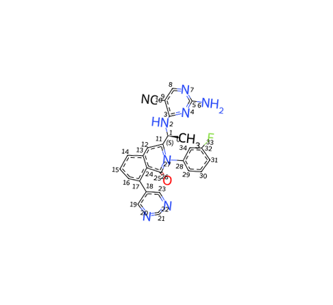 C[C@H](Nc1nc(N)ncc1C#N)c1cc2cccc(-c3cncnc3)c2c(=O)n1-c1cccc(F)c1